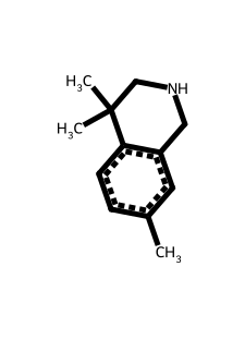 Cc1ccc2c(c1)CNCC2(C)C